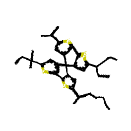 CCCCC(C)c1cc2c(s1)-c1sc(C(C)(C)CC)cc1C21c2cc(C(C)C)sc2-c2sc(C(CC)CC)cc21